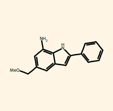 COCc1cc(N)c2[nH]c(-c3ccccc3)cc2c1